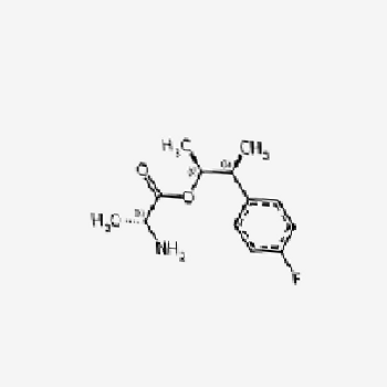 C[C@H](OC(=O)[C@@H](C)N)[C@@H](C)c1ccc(F)cc1